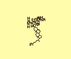 CCCC(NC(=N)N)N(C(=O)OC1CCC2(C)C(=CCC3C2CCC2(C)C(C(C)CCCC(C)C)CCC32)C1)C(CC)NC1NCN1